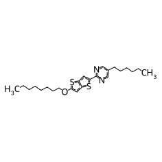 CCCCCCCCOc1cc2sc(-c3ncc(CCCCCC)cn3)cc2s1